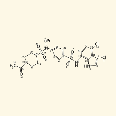 CCCN(c1ccc(S(=O)(=O)Nc2ccc(Cl)c3c(Cl)c[nH]c23)cc1)S(=O)(=O)C1CCN(C(=O)C(F)(F)F)CC1